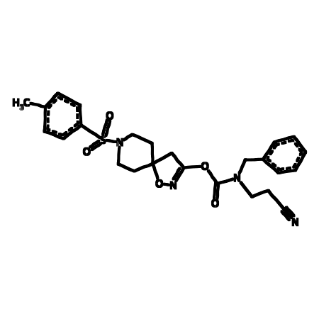 Cc1ccc(S(=O)(=O)N2CCC3(CC2)CC(OC(=O)N(CCC#N)Cc2ccccc2)=NO3)cc1